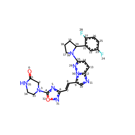 O=C1CN(c2nc(C=Cc3cnc4ccc(N5CCCC5c5cc(F)ccc5F)nn34)no2)CCN1